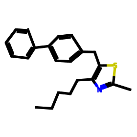 CCCCCc1nc(C)sc1Cc1ccc(-c2[c]cccc2)cc1